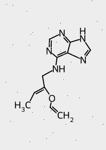 C=CO/C(=C\C)CNc1ncnc2[nH]cnc12